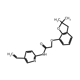 C=Cc1ccc(NC(=O)COc2cccc3c2OC(C)(C)C3)nc1